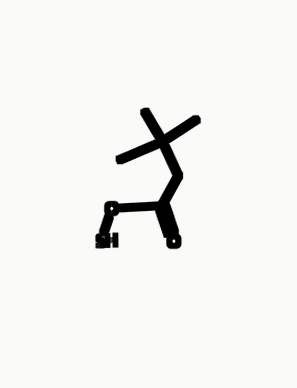 CC(C)(C)CC(=O)OS